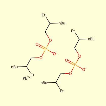 CCCCC(CC)COP(=O)([O-])OCC(CC)CCCC.CCCCC(CC)COP(=O)([O-])OCC(CC)CCCC.[Pb+2]